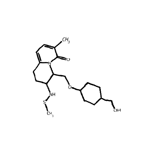 CSNC1CCc2ccc(C)c(=O)n2C1COC1CCC(CO)CC1